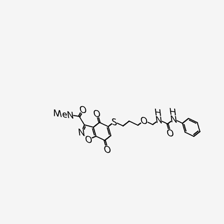 CNC(=O)c1noc2c1C(=O)C(SCCCOCNC(=O)Nc1ccccc1)=CC2=O